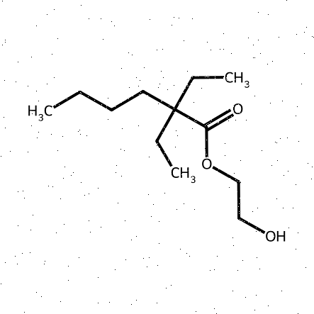 CCCCC(CC)(CC)C(=O)OCCO